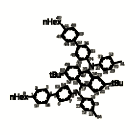 CCCCCCc1ccc(-c2ccc(N(c3ccc(C)cc3)c3c4ccc(C(C)(C)C)cc4c(N(c4ccc(C)cc4)c4ccc(-c5ccc(CCCCCC)cc5)cc4)c4ccc(C(C)(C)C)cc34)cc2)cc1